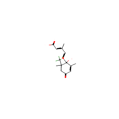 CC(C=CC1(O)C(C)=CC(=O)CC1(C)C(F)(F)F)=CC(=O)O